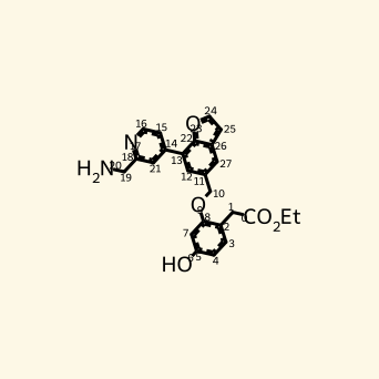 CCOC(=O)Cc1ccc(O)cc1OCc1cc(-c2ccnc(CN)c2)c2occc2c1